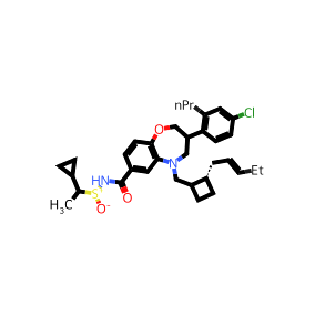 CC/C=C/C[C@@H]1CCC1CN1CC(c2ccc(Cl)cc2CCC)COc2ccc(C(=O)N[S+]([O-])C(C)C3CC3)cc21